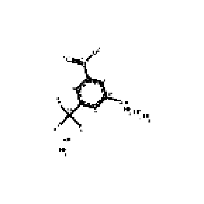 F.F.F.F.F.O=[N+]([O-])c1cc([S])cc(C(F)(F)F)c1